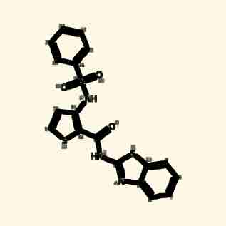 O=C(Nc1nc2ccccc2s1)c1sccc1NS(=O)(=O)c1ccccc1